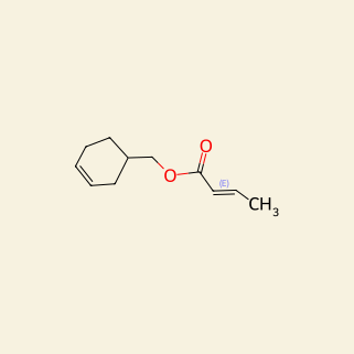 C/C=C/C(=O)OCC1CC=CCC1